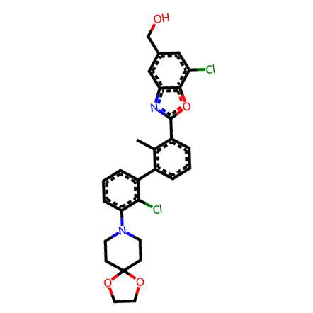 Cc1c(-c2nc3cc(CO)cc(Cl)c3o2)cccc1-c1cccc(N2CCC3(CC2)OCCO3)c1Cl